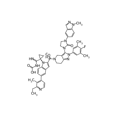 CCc1nccc(-c2ccc3c(c2)cc(C(=O)N2CCc4nn(-c5cc(C)c(F)c(C)c5)c(N5CCN(c6ccc7c(cnn7C)c6)C5=O)c4C2)n3[C@@]2(C(=N)NC(=O)O)C[C@@H]2C)c1C